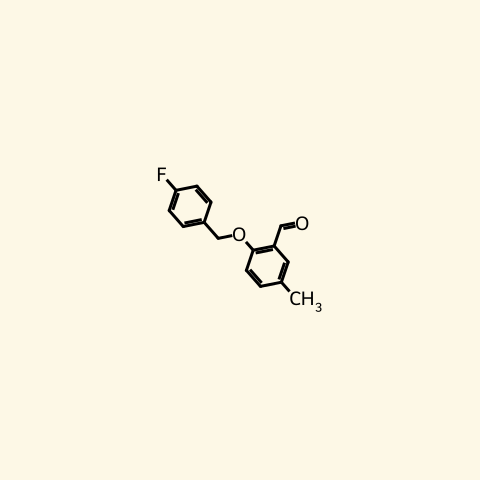 Cc1ccc(OCc2ccc(F)cc2)c(C=O)c1